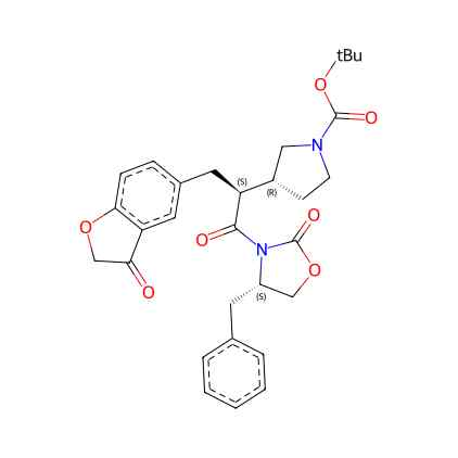 CC(C)(C)OC(=O)N1CC[C@H]([C@H](Cc2ccc3c(c2)C(=O)CO3)C(=O)N2C(=O)OC[C@@H]2Cc2ccccc2)C1